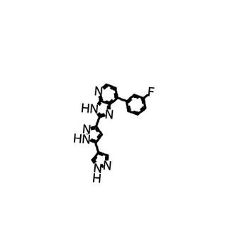 Fc1cccc(-c2ccnc3[nH]c(-c4cc(-c5cn[nH]c5)[nH]n4)nc23)c1